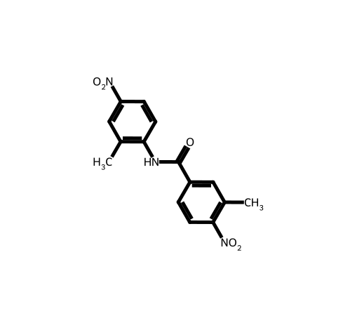 Cc1cc([N+](=O)[O-])ccc1NC(=O)c1ccc([N+](=O)[O-])c(C)c1